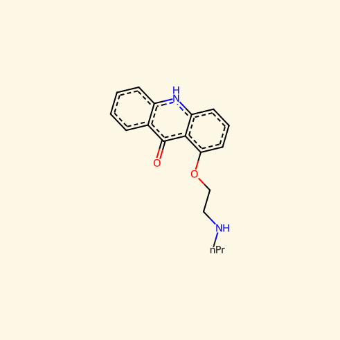 CCCNCCOc1cccc2[nH]c3ccccc3c(=O)c12